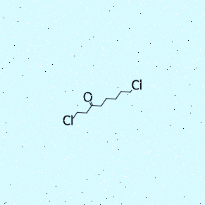 O=C(CCCl)CCCCCCl